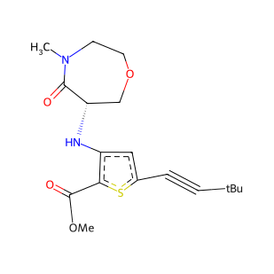 COC(=O)c1sc(C#CC(C)(C)C)cc1N[C@H]1COCCN(C)C1=O